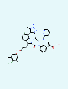 Cc1cc(OCCCc2c3n(c4c(-c5c(C)nn(C)c5C)c(Cl)ccc24)C(C)CN(c2cccc4c(C(=O)O)cn(Cc5ccccn5)c24)C3=O)cc(C)c1Cl